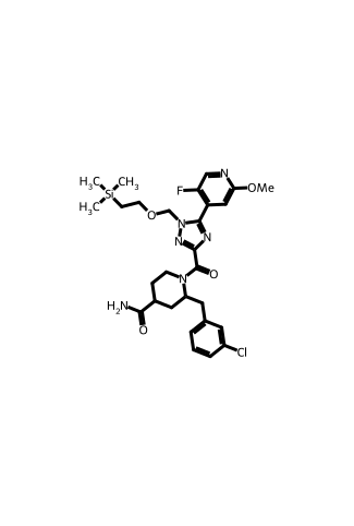 COc1cc(-c2nc(C(=O)N3CCC(C(N)=O)CC3Cc3cccc(Cl)c3)nn2COCC[Si](C)(C)C)c(F)cn1